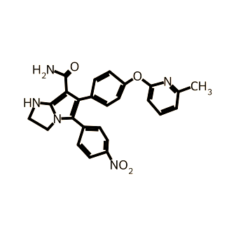 Cc1cccc(Oc2ccc(-c3c(C(N)=O)c4n(c3-c3ccc([N+](=O)[O-])cc3)CCN4)cc2)n1